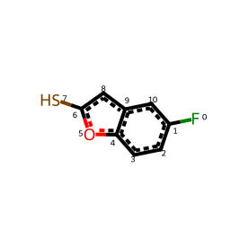 Fc1ccc2oc(S)cc2c1